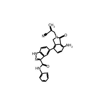 C=C(C#N)CN1Cc2c(-c3ccc4[nH]nc(C(=O)Nc5ccccc5)c4c3)ccc(N)c2C1=O